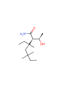 CCC(C)(C)CC(C)(CC)[C@@H](C(N)=O)[C@@H](C)O